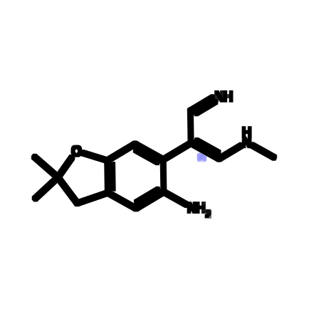 CN/C=C(\C=N)c1cc2c(cc1N)CC(C)(C)O2